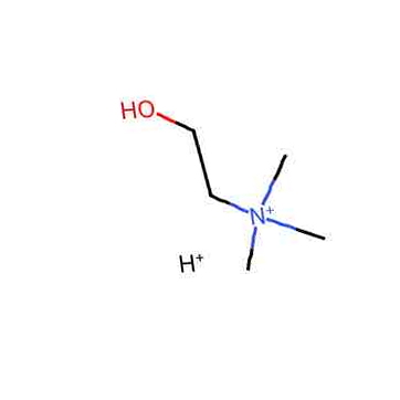 C[N+](C)(C)CCO.[H+]